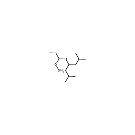 CCC(O[SiH3])OC(CC(C)C)CC(C)C